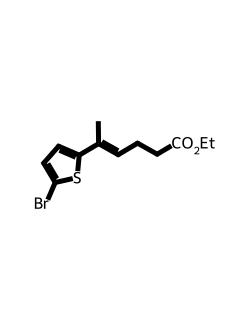 CCOC(=O)CC/C=C(\C)c1ccc(Br)s1